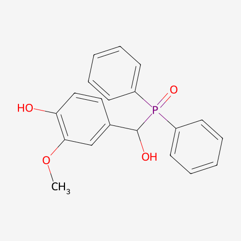 COc1cc(C(O)P(=O)(c2ccccc2)c2ccccc2)ccc1O